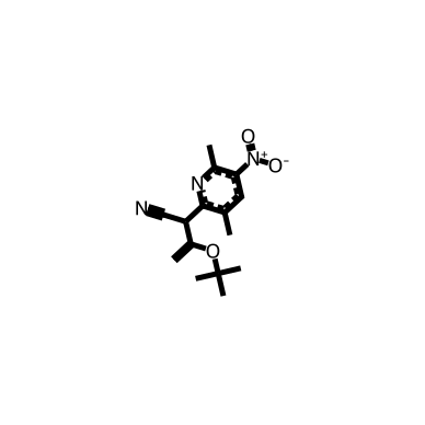 C=C(OC(C)(C)C)C(C#N)c1nc(C)c([N+](=O)[O-])cc1C